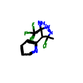 CC1(Cl)N=NC(N)(C(F)(F)F)C1c1ccccn1